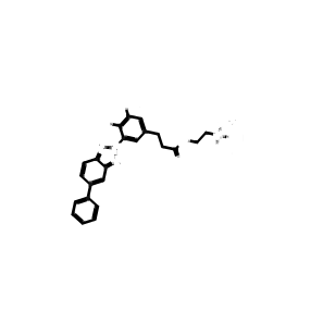 CO[Si](C)(C)CCOC(=O)CCc1cc(-n2nc3ccc(-c4ccccc4)cc3n2)c(O)c(C(C)(C)C)c1